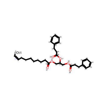 CCCCCCCC/C=C\CCCCCCCC(=O)OCC(COC(=O)CCc1ccccc1)OC(=O)CCc1ccccc1